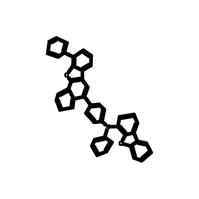 c1ccc(-c2cccc3c2oc2c4ccccc4c(-c4ccc(N(c5ccccc5)c5cccc6c5oc5ccccc56)cc4)cc32)cc1